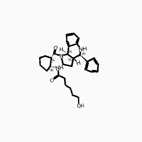 O=C(CCCCCO)N[C@@H]1CCCC[C@@H]1C(=O)N1CC[C@H]2[C@H](c3ccccc3)Nc3ccccc3[C@@H]21